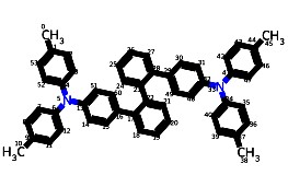 Cc1ccc(N(c2ccc(C)cc2)c2ccc(-c3ccccc3-c3ccccc3-c3ccc(N(c4ccc(C)cc4)c4ccc(C)cc4)cc3)cc2)cc1